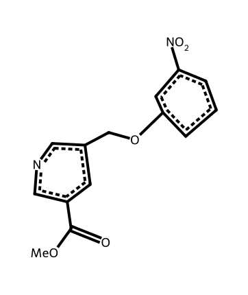 COC(=O)c1cncc(COc2cccc([N+](=O)[O-])c2)c1